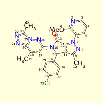 COc1ncccc1-n1nc(C)c2c1C(=O)N(c1cc(C)c3nnc(C)n3n1)C2c1ccc(Cl)cc1